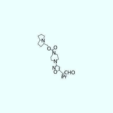 CC(C)C(C=O)c1cc(N2CCN(C(=O)OCC3CCC4CCCN43)CC2)no1